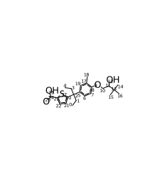 CCC(CC)(c1ccc(OCC(O)C(C)(C)C)c(C)c1)c1ccc(C(=O)O)s1